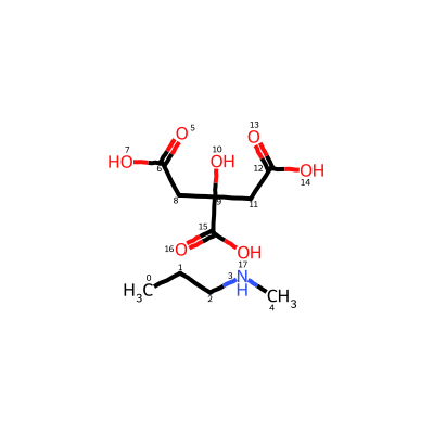 CCCNC.O=C(O)CC(O)(CC(=O)O)C(=O)O